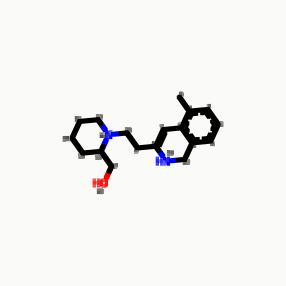 Cc1cccc2c1C=C(CCN1CCCCC1CO)NC2